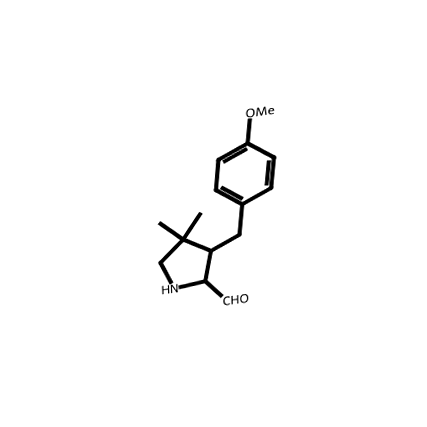 COc1ccc(CC2C(C=O)NCC2(C)C)cc1